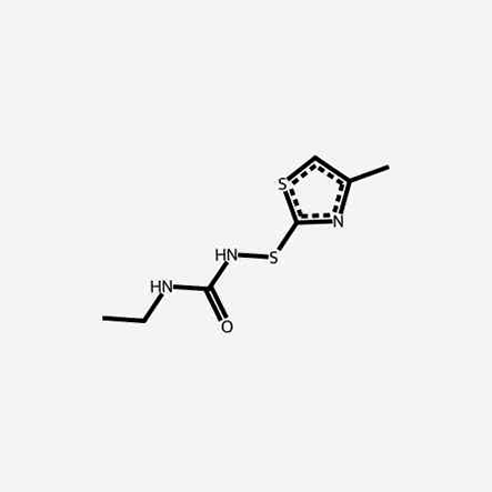 CCNC(=O)NSc1nc(C)cs1